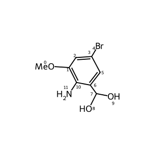 COc1cc(Br)cc(C(O)O)c1N